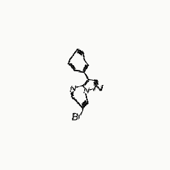 Brc1cnc2c(-c3ccccc3)cnn2c1